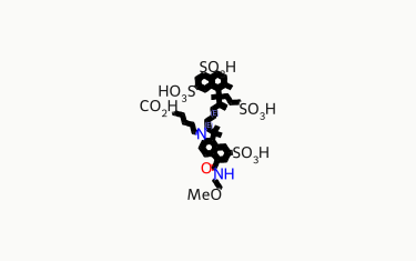 C=C(/C=C/C=C1/N(CCCCCC(=O)O)c2ccc3c(C(=O)NCCOC)cc(S(=O)(=O)O)cc3c2C1(C)C)C(C)(CCCS(=O)(=O)O)c1c(C)ccc2c(S(=O)(=O)O)cc(S(=O)(=O)O)cc12